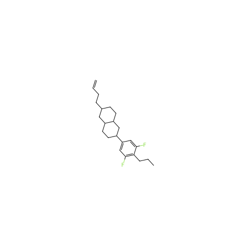 C=CCCC1CCC2CC(c3cc(F)c(CCC)c(F)c3)CCC2C1